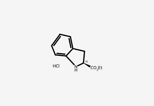 CCOC(=O)[C@@H]1Cc2ccccc2N1.Cl